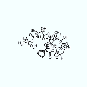 COC(=O)O[C@@]12CO[C@@H]1CC(O)[C@@]1(C)C(=O)[C@H](O)C3=C(C)[C@@H](OC(=O)[C@H](O)[C@@H](NC(=O)OC(C)(C)C(=O)O)C(C)(C)C)C[C@@](O)([C@@H](OC(=O)c4ccccc4)C12)C3(C)C